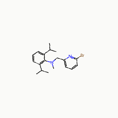 CC(C)c1cccc(C(C)C)c1N(C)Cc1cccc(Br)n1